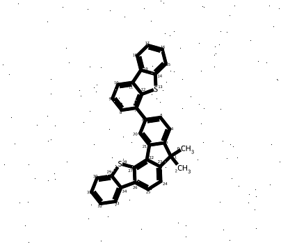 CC1(C)c2ccc(-c3cccc4c3sc3ccccc34)cc2-c2c1ccc1c2sc2ccccc21